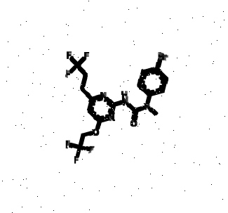 CN(C(=O)Nc1nc(CCC(F)(F)F)cc(OCC(F)(F)F)n1)c1ccc(Br)cc1